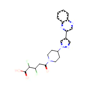 O=C(O)C(F)C(F)CC(=O)N1CCC(n2cc(-c3cnc4ccccc4n3)cn2)CC1